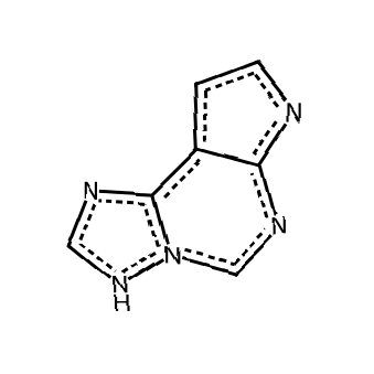 c1cc2c3nc[nH]n3cnc-2n1